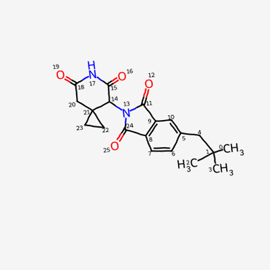 CC(C)(C)Cc1ccc2c(c1)C(=O)N(C1C(=O)NC(=O)CC13CC3)C2=O